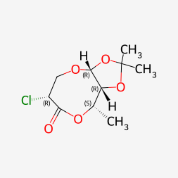 C[C@@H]1OC(=O)[C@H](Cl)CO[C@@H]2OC(C)(C)O[C@@H]21